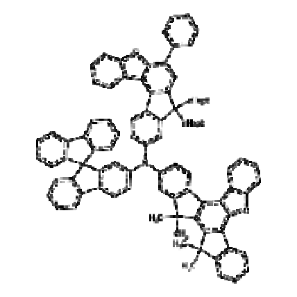 CCCCCCCC1(CCCCCCC)c2cc(N(c3ccc4c(c3)C(C)(C)c3c5c(c6oc7ccccc7c6c3-4)-c3ccccc3C5(C)C)c3ccc4c(c3)C3(c5ccccc5-c5ccccc53)c3ccccc3-4)ccc2-c2c1cc(-c1ccccc1)c1oc3ccccc3c21